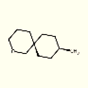 C[C@H]1CC[C@@]2(CCCOC2)CC1